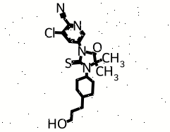 CC1(C)C(=O)N(c2cnc(C#N)c(Cl)c2)C(=S)N1C1CCC(CCCO)CC1